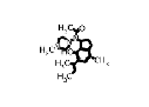 CCC(C)c1cc(C)c2c(c1O)C(N(C(C)=O)N1CCN(C)CC1)CC2